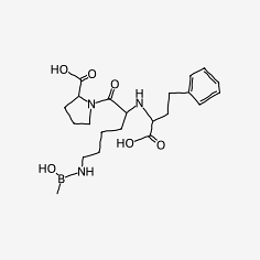 CB(O)NCCCCC(NC(CCc1ccccc1)C(=O)O)C(=O)N1CCCC1C(=O)O